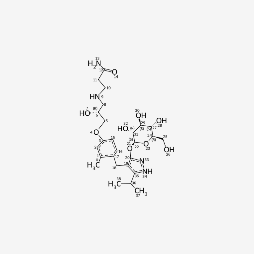 Cc1cc(OC[C@H](O)CNCCC(N)=O)ccc1Cc1c(O[C@@H]2O[C@H](CO)[C@@H](O)[C@H](O)[C@H]2O)n[nH]c1C(C)C